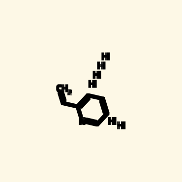 C=Cc1ccccn1.I.I.I.I.I.I